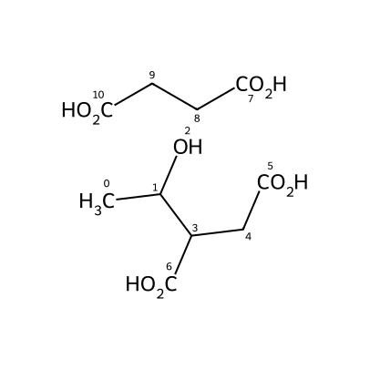 CC(O)C(CC(=O)O)C(=O)O.O=C(O)CCC(=O)O